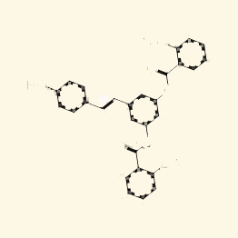 CC(=O)Oc1ccccc1C(=O)Oc1cc(/C=C/c2ccc(O)cc2)cc(OC(=O)c2ccccc2OC(C)=O)c1